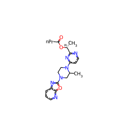 CCCC(=O)O[C@H](C)c1nccc(N2CCN(c3nc4cccnc4o3)CC2C)n1